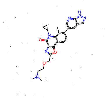 Cc1c(-c2cnc3[nH]ncc3c2)ccc2c3oc(COCCN(C)C)nc3c(=O)n(C3CC3)c12